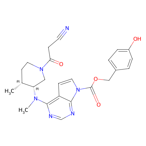 C[C@@H]1CCN(C(=O)CC#N)C[C@@H]1N(C)c1ncnc2c1ccn2C(=O)OCc1ccc(O)cc1